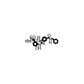 Cn1c(Nc2cc(CN(C(=O)O)C(C)(C)C)ccc2Cl)nc2cc(C(=O)NCC3CCCCC3)ccc21